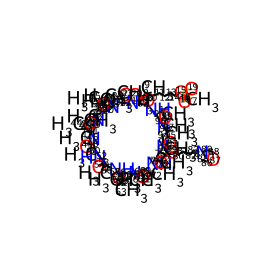 CC[C@@H]1NC(=O)[C@@H]2[C@@H]([C@H](C)CCCCCOS(C)(=O)=O)ON2C(=O)[C@H](C(C)C)N(C)C(=O)[C@H](CC(C)C)N(C)C(=O)[C@H](CC(C)C)N(C)C(=O)[C@@H](C)NC(=O)[C@H](C)NC(=O)[C@H](CC(C)C)N(C)C(=O)[C@H](C(C)C)NC(=O)[C@H]([C@@H](C)OCCCCN2CCOCC2)N(C)C(=O)[C@@H](C)N(C)C1=O